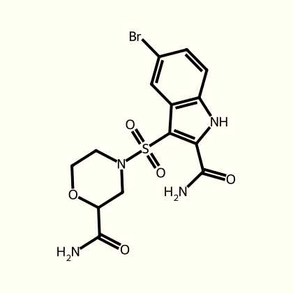 NC(=O)c1[nH]c2ccc(Br)cc2c1S(=O)(=O)N1CCOC(C(N)=O)C1